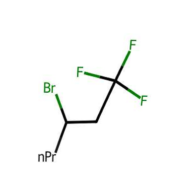 C[CH]CC(Br)CC(F)(F)F